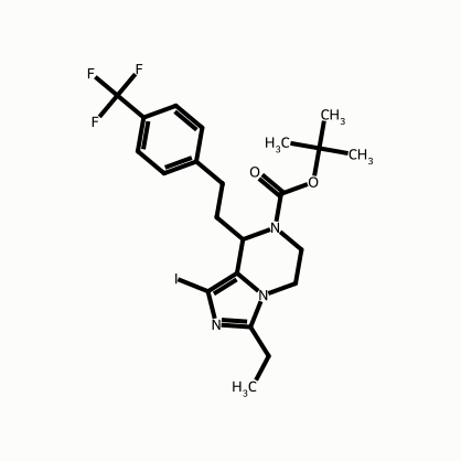 CCc1nc(I)c2n1CCN(C(=O)OC(C)(C)C)C2CCc1ccc(C(F)(F)F)cc1